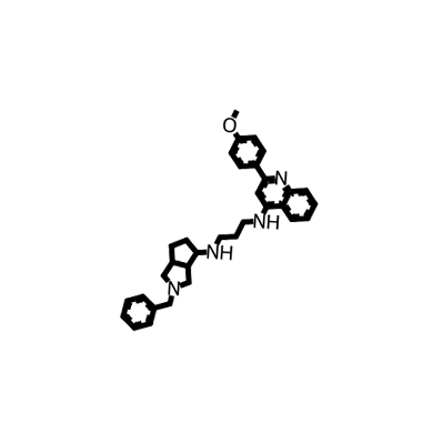 COc1ccc(-c2cc(NCCCNC3CCC4CN(Cc5ccccc5)CC43)c3ccccc3n2)cc1